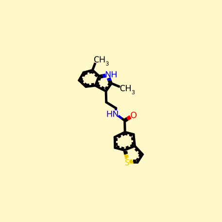 Cc1[nH]c2c(C)cccc2c1CCNC(=O)c1ccc2sccc2c1